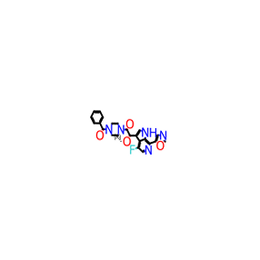 C[C@@H]1CN(C(=O)c2ccccc2)CCN1C(=O)C(=O)c1c[nH]c2c(-c3cnco3)ncc(F)c12